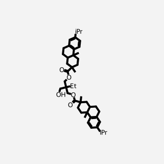 CCC(CO)(COC(=O)C1(C)CCC2(C)c3ccc(C(C)C)cc3CCC2C1)COC(=O)C1(C)CCC2(C)c3ccc(C(C)C)cc3CCC2C1